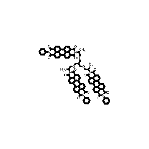 CC(COCC(COCC(C)N1C(=O)c2ccc3c4ccc5c6c(ccc(c7ccc(c2c37)C1=O)c64)C(=O)N(c1ccccc1)C5=O)COCC(C)N1C(=O)c2ccc3c4ccc5c6c(ccc(c7ccc(c2c37)C1=O)c64)C(=O)N(c1ccccc1)C5=O)N1C(=O)c2ccc3c4ccc5c6c(ccc(c7ccc(c2c37)C1=O)c64)C(=O)N(c1ccccc1)C5=O